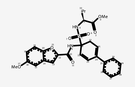 COC(=O)[C@@H](NS(=O)(=O)C1(NC(=O)c2cc3cc(OC)ccc3o2)C=CC(c2ccccc2)=CC1)C(C)C